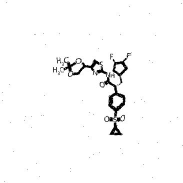 CC1(C)OCC(c2csc(NC(=O)[C@H](C[C@H]3C[C@@H](F)[C@@H](F)C3)c3ccc(S(=O)(=O)C4CC4)cc3)n2)O1